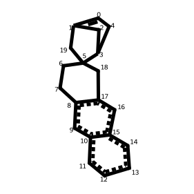 C1=C2CC(C1)C1(CCc3cc4ccccc4cc3C1)C2